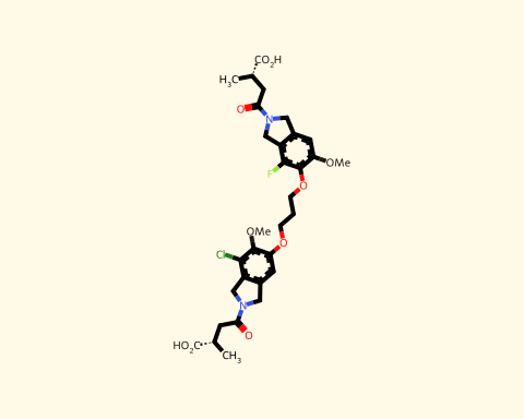 COc1cc2c(c(F)c1OCCCOc1cc3c(c(Cl)c1OC)CN(C(=O)C[C@H](C)C(=O)O)C3)CN(C(=O)C[C@H](C)C(=O)O)C2